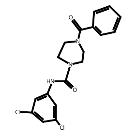 O=C(Nc1cc(Cl)cc(Cl)c1)N1CCN(C(=O)c2ccccc2)CC1